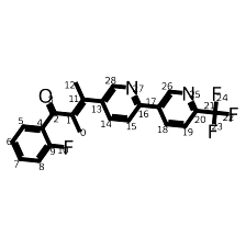 C/C(C(=O)c1ccccc1F)=C(/C)c1ccc(-c2ccc(C(F)(F)F)nc2)nc1